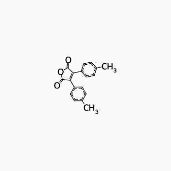 Cc1ccc(C2=C(c3ccc(C)cc3)C(=O)OC2=O)cc1